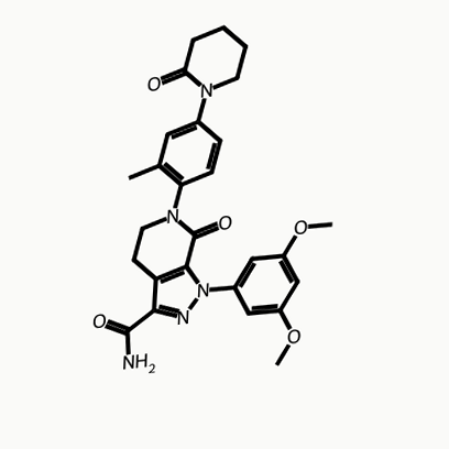 COc1cc(OC)cc(-n2nc(C(N)=O)c3c2C(=O)N(c2ccc(N4CCCCC4=O)cc2C)CC3)c1